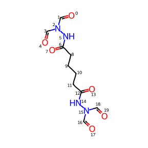 O=CN(C=O)NC(=O)CCCCC(=O)NN(C=O)C=O